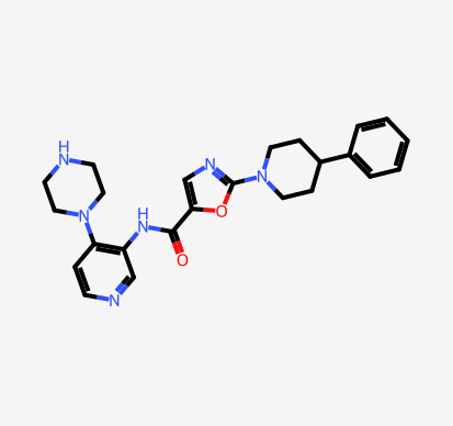 O=C(Nc1cnccc1N1CCNCC1)c1cnc(N2CCC(c3ccccc3)CC2)o1